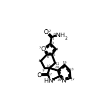 NC(=O)c1cc2c(o1)CCC1(C2)C(=O)Nc2ncccc21